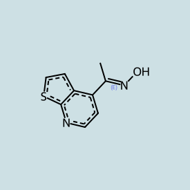 C/C(=N\O)c1ccnc2sccc12